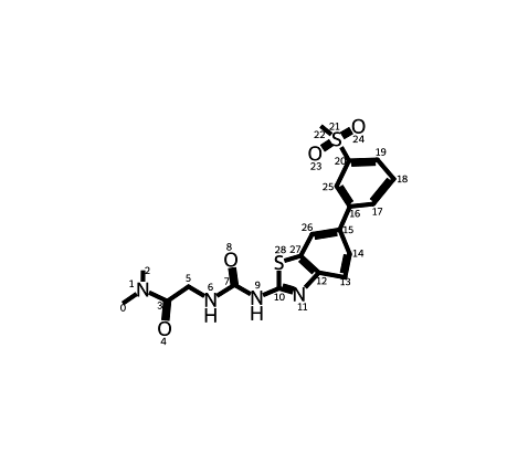 CN(C)C(=O)CNC(=O)Nc1nc2ccc(-c3cccc(S(C)(=O)=O)c3)cc2s1